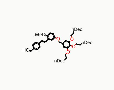 [CH]=Cc1ccc(C=Cc2cc(OCc3cc(OCCCCCCCCCCCC)c(OCCCCCCCCCCCC)c(OCCCCCCCCCCCC)c3)[c]cc2OC)cc1